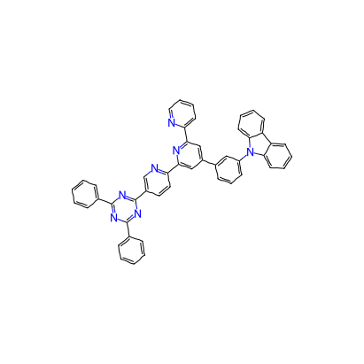 c1ccc(-c2nc(-c3ccccc3)nc(-c3ccc(-c4cc(-c5cccc(-n6c7ccccc7c7ccccc76)c5)cc(-c5ccccn5)n4)nc3)n2)cc1